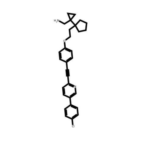 NCC1(C2(CCOc3ccc(C#Cc4ccc(-c5ccc(Cl)cc5)cn4)cc3)CCCC2)CC1